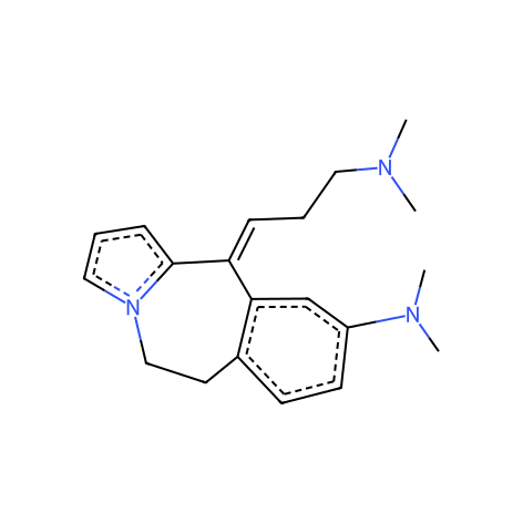 CN(C)CCC=C1c2cc(N(C)C)ccc2CCn2cccc21